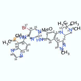 COc1cc(N2CCN(C)C(C)(C)C2)c(-c2cnn(C)c2)cc1Nc1ncc(Br)c(Nc2ccc3nccnc3c2P(C)C)n1